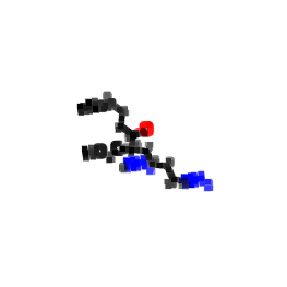 CCCCCCCCCCCC(=O)C(N)(CCCCN)C(=O)O